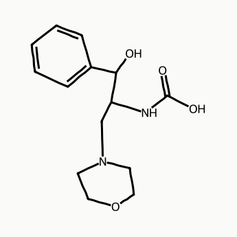 O=C(O)NC(CN1CCOCC1)C(O)c1ccccc1